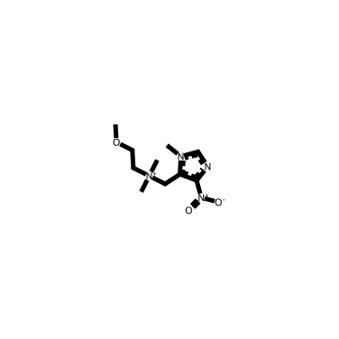 COCC[N+](C)(C)Cc1c([N+](=O)[O-])ncn1C